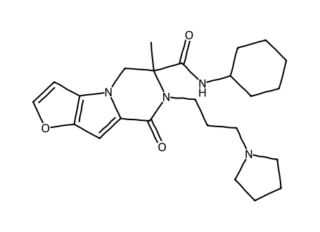 CC1(C(=O)NC2CCCCC2)Cn2c(cc3occc32)C(=O)N1CCCN1CCCC1